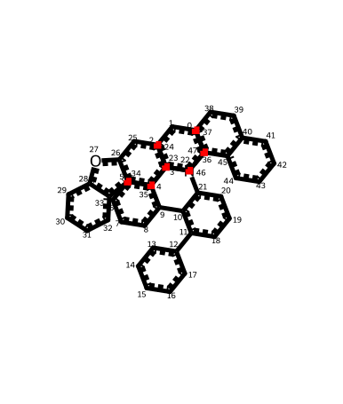 c1ccc(-c2ccccc2-c2c(-c3ccccc3)cccc2N(c2ccc3oc4ccccc4c3c2)c2cccc3ccccc23)cc1